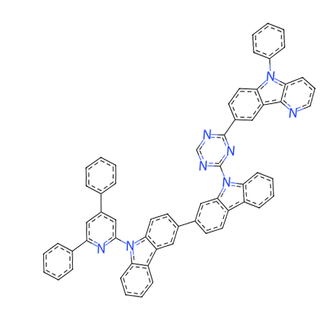 c1ccc(-c2cc(-c3ccccc3)nc(-n3c4ccccc4c4cc(-c5ccc6c7ccccc7n(-c7ncnc(-c8ccc9c(c8)c8ncccc8n9-c8ccccc8)n7)c6c5)ccc43)c2)cc1